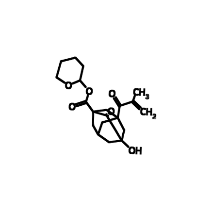 C=C(C)C(=O)C12CC3CC(O)(C1)C(=O)C(C(=O)OC1CCCCO1)(C3)C2